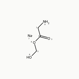 NCC(=O)OCO.[Na]